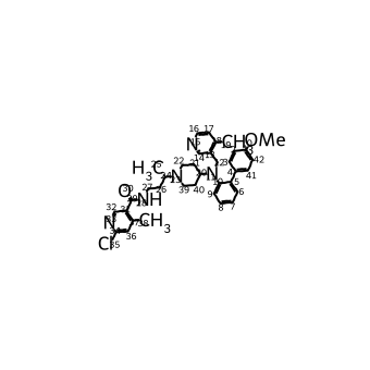 COc1ccc(-c2ccccc2N(Cc2cnccc2C)C2CCN([C@H](C)CCNC(=O)c3cnc(Cl)cc3C)CC2)cc1